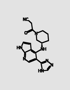 N#CCC(=O)N1CCC[C@@H](Nc2c(-c3nnc[nH]3)cnc3[nH]ccc23)C1